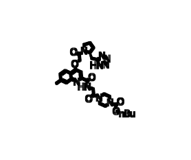 CCCCOC(=O)N1CCN(C(=O)CNC(=O)c2cc(OCC(=O)N3CCC[C@H]3Cc3nnn[nH]3)c3ccc(C)cc3n2)CC1